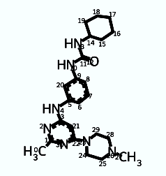 Cc1nc(Nc2cccc(NC(=O)NC3CCCCC3)c2)cc(N2CCN(C)CC2)n1